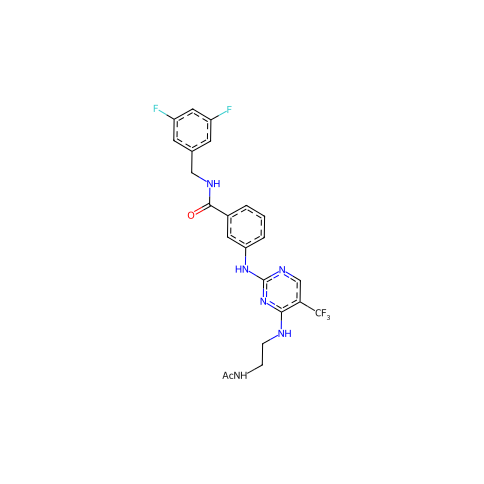 CC(=O)NCCNc1nc(Nc2cccc(C(=O)NCc3cc(F)cc(F)c3)c2)ncc1C(F)(F)F